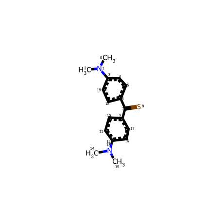 CN(C)c1ccc(C(=S)c2ccc(N(C)C)cc2)cc1